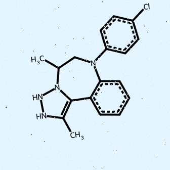 CC1=C2c3ccccc3N(c3ccc(Cl)cc3)CC(C)N2NN1